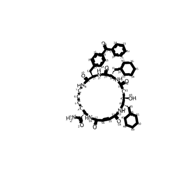 NC(=O)[C@@H]1CCCCNC(=O)[C@@H](Cc2ccc(C(=O)c3ccccc3)cc2)NC(=O)[C@H](CC2CCCCC2)NC(=O)C[C@@H](O)[C@H](CC2CCCCC2)NC(=O)C=CC(=O)N1